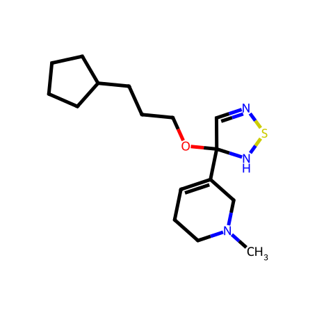 CN1CCC=C(C2(OCCCC3CCCC3)C=NSN2)C1